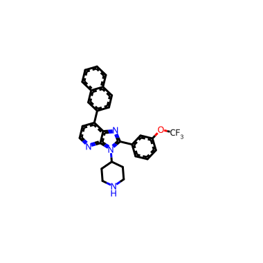 FC(F)(F)Oc1cccc(-c2nc3c(-c4ccc5ccccc5c4)ccnc3n2C2CCNCC2)c1